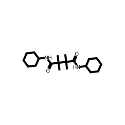 CC(C)(C(=O)NC1CCCCC1)C(C)(C)C(=O)NC1CCCCC1